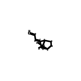 CC1(C)C2CCC1/C(=C\C=O)C2